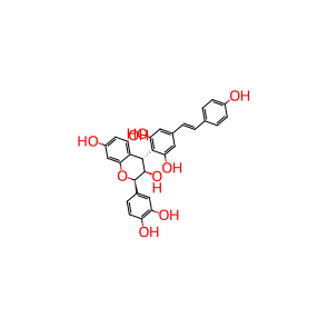 Oc1ccc(/C=C/c2cc(O)c([C@H]3c4c(O)cc(O)cc4O[C@H](c4ccc(O)c(O)c4)[C@@H]3O)c(O)c2)cc1